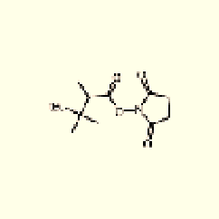 CC(C(=O)ON1C(=O)CCC1=O)C(C)(C)C(C)(C)C